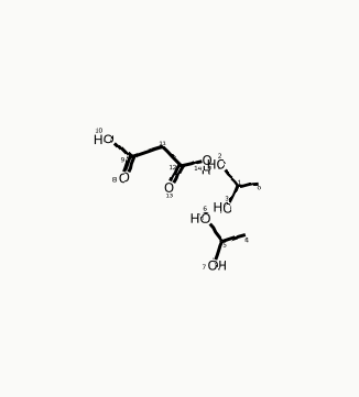 CC(O)O.CC(O)O.O=C(O)CC(=O)O